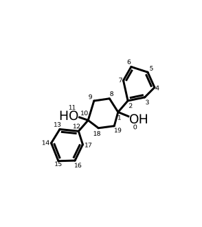 OC1(c2ccccc2)CCC(O)(c2ccccc2)CC1